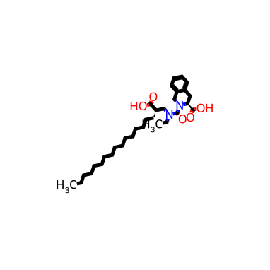 CCCCCCCCCCCCCCCC[C@@H](CN(CC)C(=O)N1Cc2ccccc2C[C@H]1C(=O)O)C(=O)O